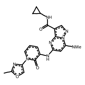 CNc1cc(Nc2cccn(-c3coc(C)n3)c2=O)nc2c(C(=O)NC3CC3)cnn12